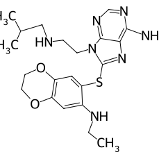 CCNc1cc2c(cc1Sc1nc3c(N)ncnc3n1CCNCC(C)C)OCCO2